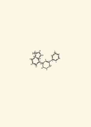 C1=C(c2cccnc2)SCCN1c1ncnc2[nH]ccc12